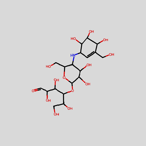 O=CC(O)C(O)C(OC1OC(CO)C(NC2C=C(CO)C(O)C(O)C2O)C(O)C1O)C(O)CO